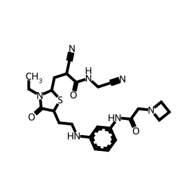 CCN1C(=O)C(CCNc2cccc(NC(=O)CN3CCC3)c2)SC1CC(C#N)C(=O)NCC#N